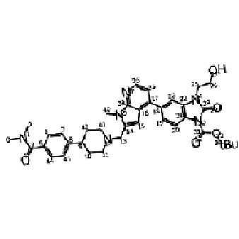 CN(C)C(=O)c1ccc(C2CCN(Cc3cc4c(-c5ccc6c(c5)n(CCO)c(=O)n6C(=O)OC(C)(C)C)ccnc4n3C)CC2)cc1